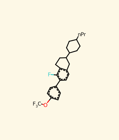 CCCC1CCC(C2CCc3c(ccc(-c4ccc(OC(F)(F)F)cc4)c3F)C2)CC1